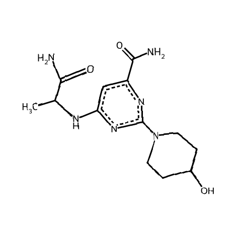 CC(Nc1cc(C(N)=O)nc(N2CCC(O)CC2)n1)C(N)=O